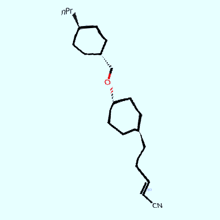 CCC[C@H]1CC[C@H](CO[C@H]2CC[C@H](CC/C=C/C#N)CC2)CC1